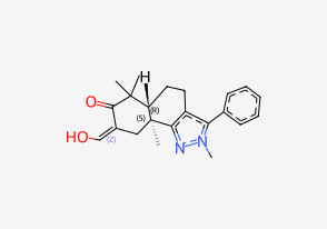 Cn1nc2c(c1-c1ccccc1)CC[C@H]1C(C)(C)C(=O)/C(=C\O)C[C@]21C